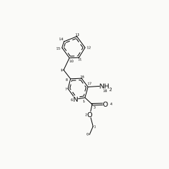 CCOC(=O)c1ncc(Cc2ccccc2)cc1N